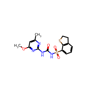 COc1cc(C)nc(NC(=O)NS(=O)(=O)c2cccc3c2SCC3)n1